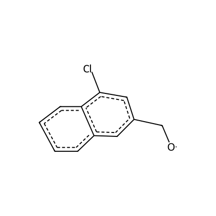 [O]Cc1cc(Cl)c2ccccc2c1